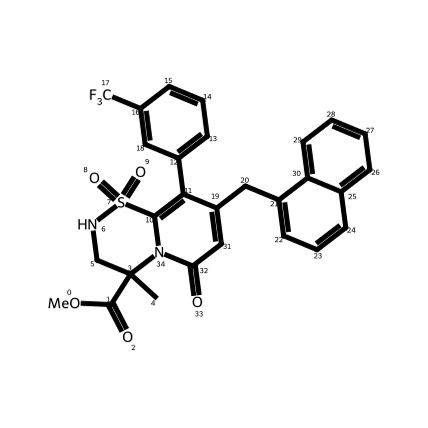 COC(=O)C1(C)CNS(=O)(=O)c2c(-c3cccc(C(F)(F)F)c3)c(Cc3cccc4ccccc34)cc(=O)n21